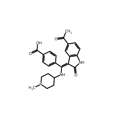 CC(=O)c1ccc2c(c1)/C(=C(/NC1CCN(C)CC1)c1ccc(C(=O)O)cc1)C(=O)N2